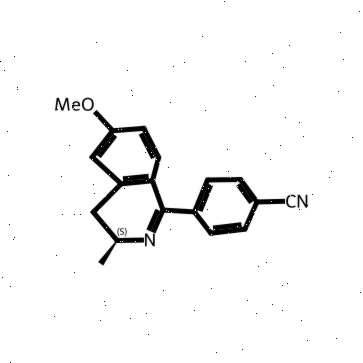 COc1ccc2c(c1)C[C@H](C)N=C2c1ccc(C#N)cc1